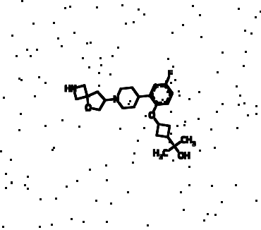 CC(C)(O)C1CC(Oc2ccc(F)cc2C2CCN(C3COC4(CNC4)C3)CC2)C1